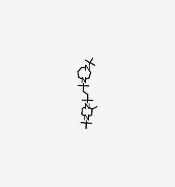 CC1CN(C(C)(C)C)CCN1C(C)(C)CCC(C)(C)N1CCCN(C(C)(C)C)CC1